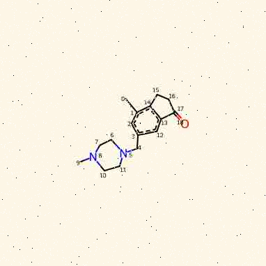 Cc1cc(CN2CCN(C)CC2)cc2c1CCC2=O